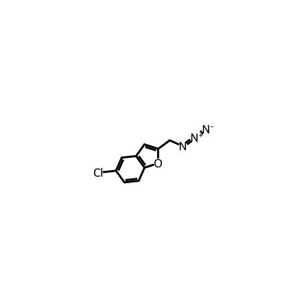 [N-]=[N+]=NCc1cc2cc(Cl)ccc2o1